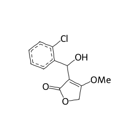 COC1=C(C(O)c2ccccc2Cl)C(=O)OC1